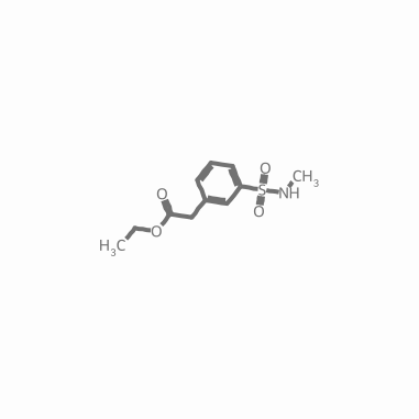 CCOC(=O)Cc1cccc(S(=O)(=O)NC)c1